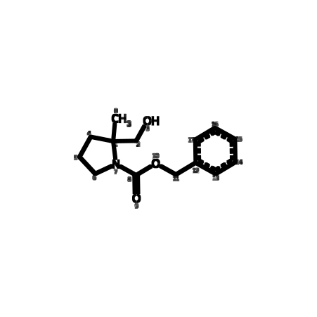 CC1(CO)CCCN1C(=O)OCc1ccccc1